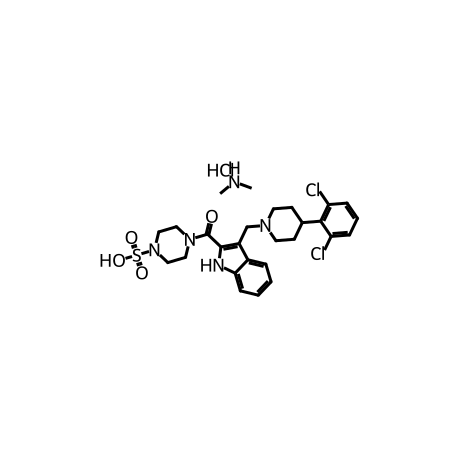 CNC.Cl.O=C(c1[nH]c2ccccc2c1CN1CCC(c2c(Cl)cccc2Cl)CC1)N1CCN(S(=O)(=O)O)CC1